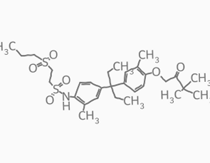 CCCS(=O)(=O)CCS(=O)(=O)Nc1ccc(C(CC)(CC)c2ccc(OCC(=O)C(C)(C)C)c(C)c2)cc1C